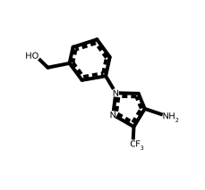 Nc1cn(-c2cccc(CO)c2)nc1C(F)(F)F